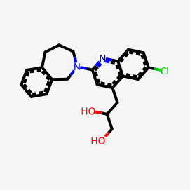 OCC(O)Cc1cc(N2CCCc3ccccc3C2)nc2ccc(Cl)cc12